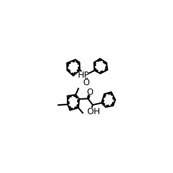 Cc1cc(C)c(C(=O)C(O)c2ccccc2)c(C)c1.O=[PH](c1ccccc1)c1ccccc1